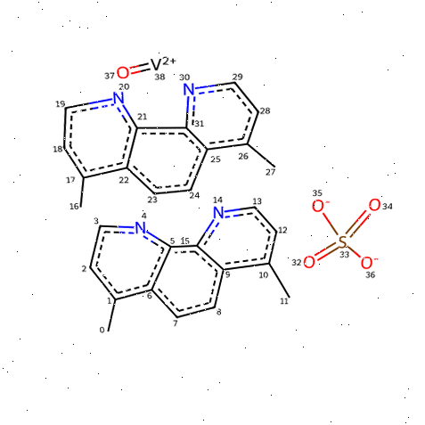 Cc1ccnc2c1ccc1c(C)ccnc12.Cc1ccnc2c1ccc1c(C)ccnc12.O=S(=O)([O-])[O-].[O]=[V+2]